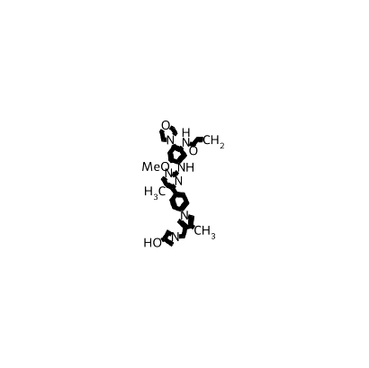 C=CC(=O)Nc1cc(Nc2ncc(C)c(-c3ccc(-n4cc(C)c(CN5CC(O)C5)c4)cc3)n2)c(OC)cc1N1CCOCC1